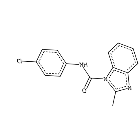 Cc1nc2ccccc2n1C(=O)Nc1ccc(Cl)cc1